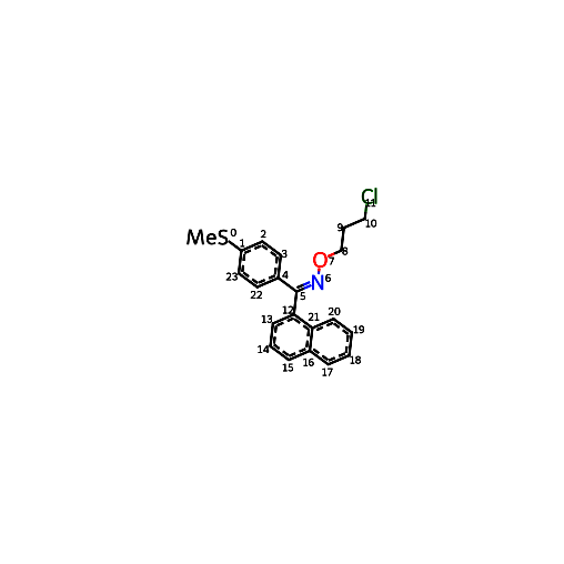 CSc1ccc(C(=NOCCCCl)c2cccc3ccccc23)cc1